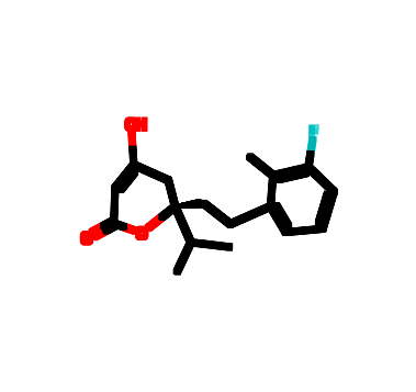 Cc1c(F)cccc1CC[C@@]1(C(C)C)CC(O)=CC(=O)O1